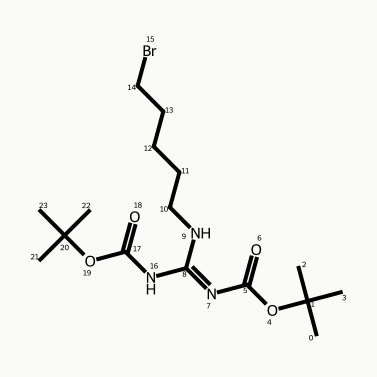 CC(C)(C)OC(=O)/N=C(\NCCCCCBr)NC(=O)OC(C)(C)C